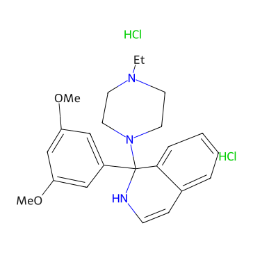 CCN1CCN(C2(c3cc(OC)cc(OC)c3)NC=Cc3ccccc32)CC1.Cl.Cl